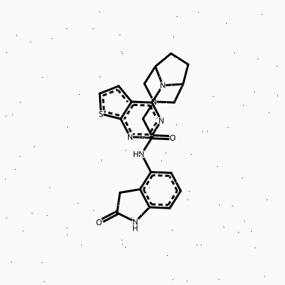 O=C1Cc2c(cccc2NC(=O)CN2CC3CCC(C2)N3c2ncnc3sccc23)N1